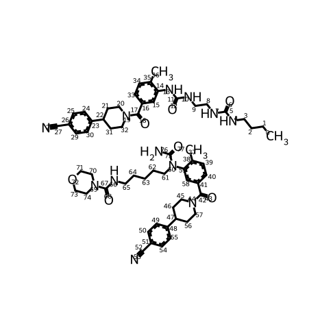 CCCCNC(=O)NCCNC(=O)Nc1cc(C(=O)N2CCC(c3ccc(C#N)cc3)CC2)ccc1C.Cc1ccc(C(=O)N2CCC(c3ccc(C#N)cc3)CC2)cc1N(CCCCCNC(=O)N1CCOCC1)C(N)=O